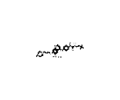 COc1cc2c(Oc3ccc(NC(=O)NCCC(C)(C)C)cc3)ccnc2cc1OCCCN1CCN(C)CC1.Cl